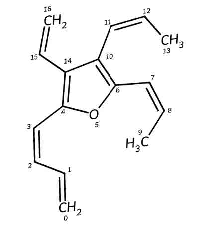 C=C/C=C\c1oc(/C=C\C)c(/C=C\C)c1C=C